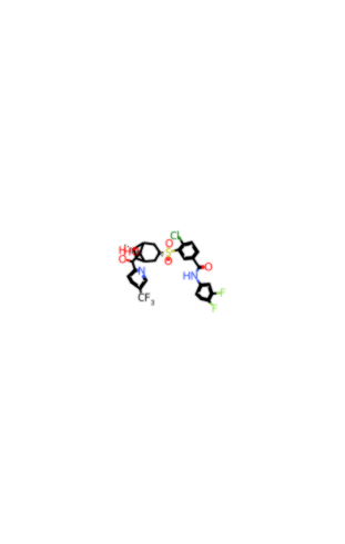 C[C@H]1CC2C[C@@H](S(=O)(=O)c3cc(C(=O)Nc4ccc(F)c(F)c4)ccc3Cl)CC1[C@@]2(O)C(O)c1ccc(C(F)(F)F)cn1